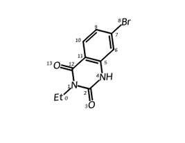 CCn1c(=O)[nH]c2cc(Br)ccc2c1=O